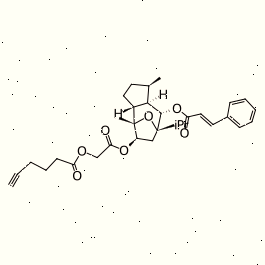 C#CCCCC(=O)OCC(=O)O[C@@H]1C[C@]2(C(C)C)O[C@@]1(C)[C@@H]1CC[C@@H](C)[C@H]1[C@@H]2OC(=O)/C=C/c1ccccc1